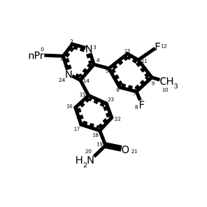 CCCc1cnc(-c2cc(F)c(C)c(F)c2)c(-c2ccc(C(N)=O)cc2)n1